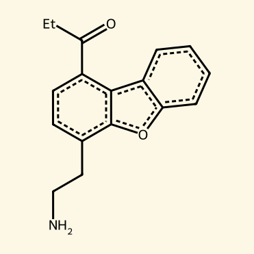 CCC(=O)c1ccc(CCN)c2oc3ccccc3c12